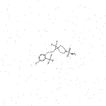 NS(=O)(=O)N1CCC2(CC1)C(CCc1ccc(F)cc1C(F)(F)F)C2(F)F